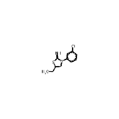 CCC1CN(c2cccc(Cl)c2)C(=N)S1